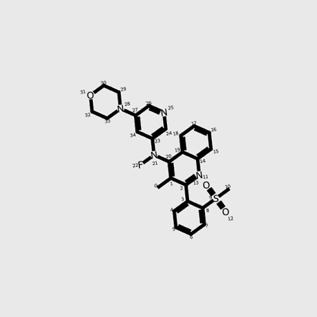 Cc1c(-c2ccccc2S(C)(=O)=O)nc2ccccc2c1N(F)c1cncc(N2CCOCC2)c1